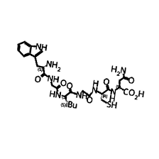 CC[C@H](C)[C@H](NC(=O)CNC(=O)[C@@H](N)Cc1c[nH]c2ccccc12)C(=O)NCC(=O)N[C@@H](CS)C(=O)N[C@@H](CC(N)=O)C(=O)O